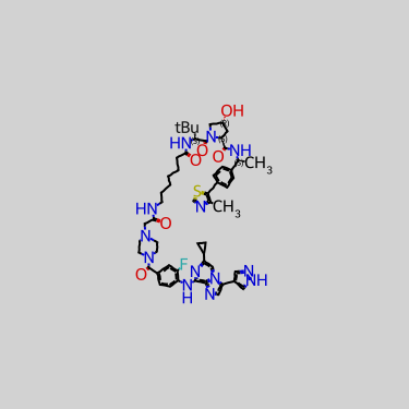 Cc1ncsc1-c1ccc([C@H](C)NC(=O)[C@@H]2C[C@@H](O)CN2C(=O)[C@@H](NC(=O)CCCCCCNC(=O)CN2CCN(C(=O)c3ccc(Nc4nc(C5CC5)cn5c(-c6cn[nH]c6)cnc45)c(F)c3)CC2)C(C)(C)C)cc1